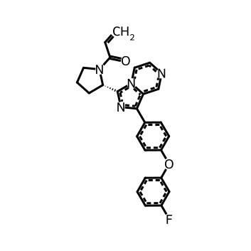 C=CC(=O)N1CCC[C@H]1c1nc(-c2ccc(Oc3cccc(F)c3)cc2)c2cnccn12